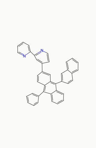 c1ccc(-c2c3ccccc3c(-c3ccc4ccccc4c3)c3cc(-c4ccnc(-c5ccccn5)c4)ccc23)cc1